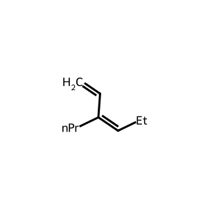 C=CC(=CCC)CCC